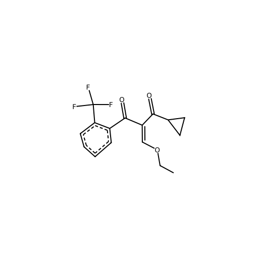 CCOC=C(C(=O)c1ccccc1C(F)(F)F)C(=O)C1CC1